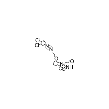 CNC(=O)C(CCC=O)N1Cc2c(OCCCCN3CCN(c4ccc(Cl)c(Cl)c4)CC3)cccc2C1=O